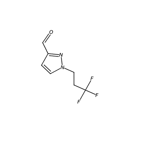 O=Cc1ccn(CCC(F)(F)F)n1